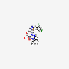 COCCN1C(=O)/C2=C(\O)COC/C(c3nnc(Cc4ccc(F)cc4F)s3)=C\N2N(C)C12CC[C@@H](C)[C@H]2C